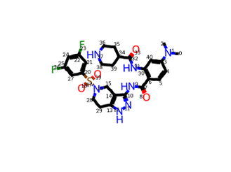 CN(C)c1ccc(C(=O)Nc2n[nH]c3c2CN(S(=O)(=O)c2cc(F)cc(F)c2)CC3)c(NC(=O)C2CCNCC2)c1